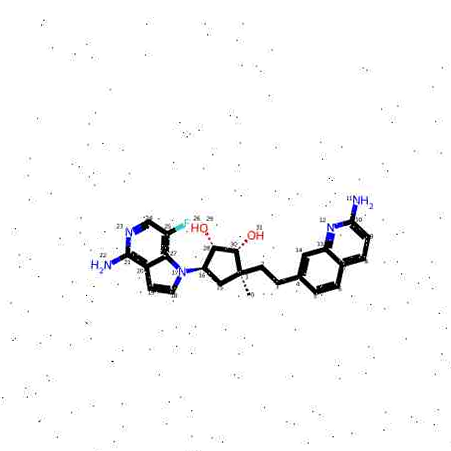 C[C@]1(CCc2ccc3ccc(N)nc3c2)C[C@@H](n2ccc3c(N)ncc(F)c32)[C@H](O)[C@@H]1O